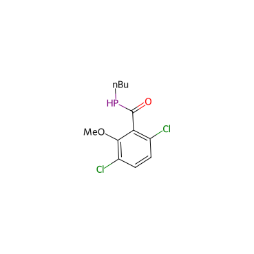 CCCCPC(=O)c1c(Cl)ccc(Cl)c1OC